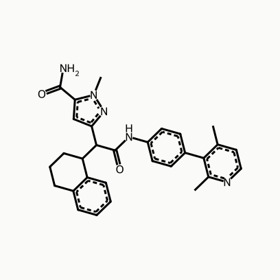 Cc1ccnc(C)c1-c1ccc(NC(=O)C(c2cc(C(N)=O)n(C)n2)C2CCCc3ccccc32)cc1